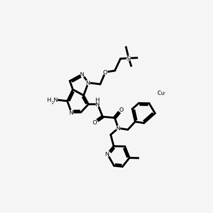 Cc1ccnc(CN(Cc2ccccc2)C(=O)C(=O)Nc2cnc(N)c3cnn(COCC[Si](C)(C)C)c23)c1.[Cu]